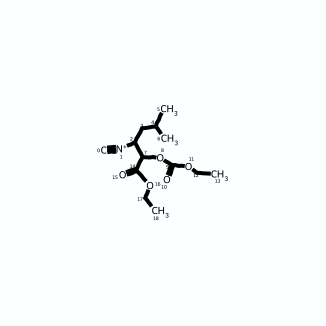 [C-]#[N+]C(CC(C)C)C(OC(=O)OCC)C(=O)OCC